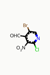 O=Cc1c(Br)cnc(Cl)c1[N+](=O)[O-]